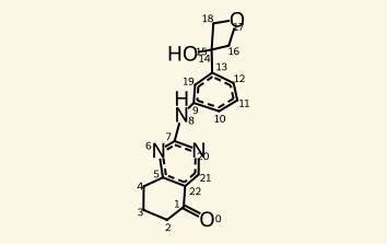 O=C1CCCc2nc(Nc3cccc(C4(O)COC4)c3)ncc21